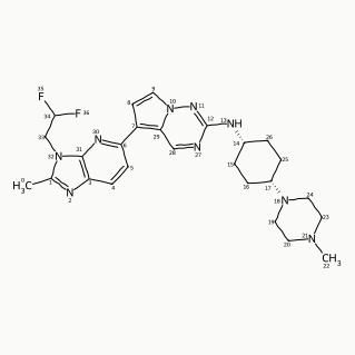 Cc1nc2ccc(-c3ccn4nc(N[C@H]5CC[C@@H](N6CCN(C)CC6)CC5)ncc34)nc2n1CC(F)F